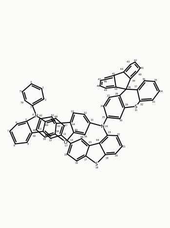 c1ccc(-n2c3ccccc3c3cc(-c4ccc5sc6cccc(N(c7ccc8c(c7)Sc7ccccc7C87c8ccccc8-c8ccccc87)c7ccc8c(c7)oc7ccccc78)c6c5c4)ccc32)cc1